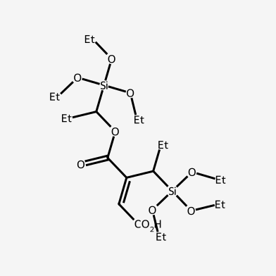 CCO[Si](OCC)(OCC)C(CC)OC(=O)C(=CC(=O)O)C(CC)[Si](OCC)(OCC)OCC